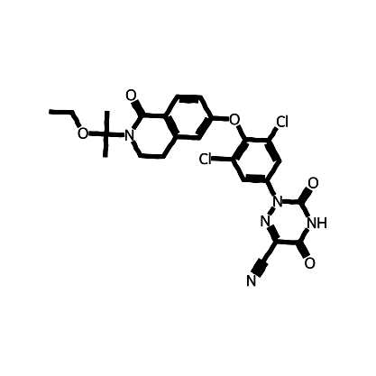 CCOC(C)(C)N1CCc2cc(Oc3c(Cl)cc(-n4nc(C#N)c(=O)[nH]c4=O)cc3Cl)ccc2C1=O